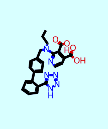 CCCN(Cc1ccc(-c2ccccc2-c2nnn[nH]2)cc1)c1nccc(C(=O)O)c1C(=O)O